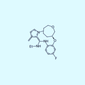 C=c1ccn(C)/c1=C(/NCC)Nc1ccc(F)cc1O[C@H]1CCCCOC1